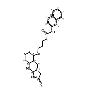 O=C(CCCCOC1CCCC2NC3NC(=O)CN3CC21)Nc1ccc2ccccc2n1